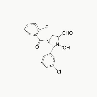 O=CC1CN(C(=O)c2ccccc2F)C(c2cccc(Cl)c2)N1O